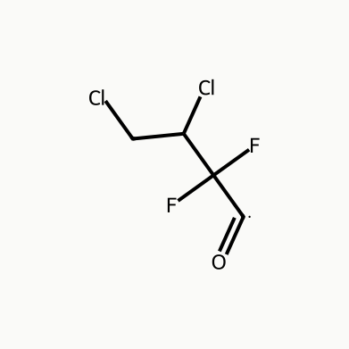 O=[C]C(F)(F)C(Cl)CCl